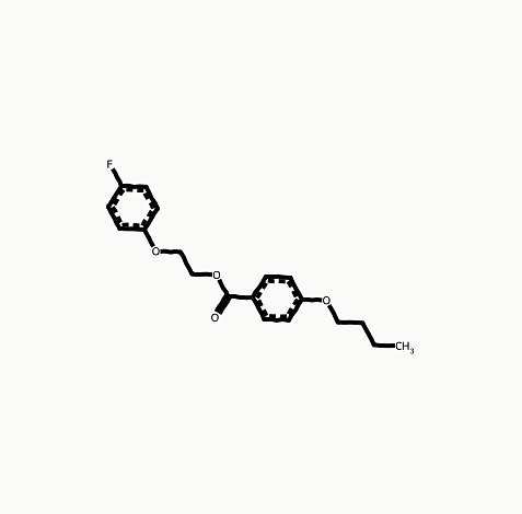 CCCCOc1ccc(C(=O)OCCOc2ccc(F)cc2)cc1